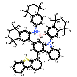 CC1(C)CCC(C)(C)c2cc(Nc3cc4c(cc3-c3cc(-c5cccc6c5sc5ccccc56)c5c6ccccc6n6c5c3Bc3cc5c(cc3-6)C(C)(C)CCC5(C)C)C(C)(C)CCC4(C)C)ccc21